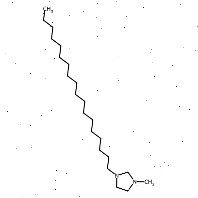 CCCCCCCCCCCCCCCCCCN1CCN(C)C1